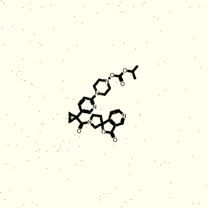 CC(C)OC(=O)ON1CCN(c2ccc(C3(C(=O)N4CCC5(C4)OC(=O)c4cnccc45)CC3)cn2)CC1